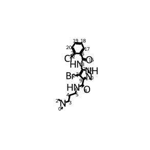 CN(C)CCCNC(=O)c1n[nH]c(NC(=O)c2ccccc2Cl)c1Br